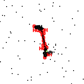 CCC[C@H](O)[C@@]1(F)[C@H]([C@@H]2C[C@@H](C)C(O)(C(=O)COC(=O)OCCOCCOCCOC(=O)OCC(=O)[C@@]3(O)[C@H](C)C[C@H]4[C@@H]5CCC6=CC(=O)C=C[C@]6(C)[C@@]5(F)[C@@H](O)C[C@@]43C)C2)CCC2=CC(=O)C=C[C@@]21C